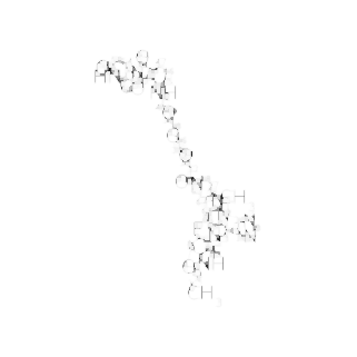 CCC[S+]([O-])Nc1ccc(F)c(-n2cc(-c3cncnc3)c3nc(N(C)C4CCN(C(=O)CCOCCOCCOCCNc5cccc6c5C(=O)N(C5CCC(=O)NC5=O)C6=O)CC4)ccc32)c1F